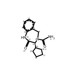 NC(=O)N1Cc2ccccc2NC(=O)[C@@H]1C1CCCC1